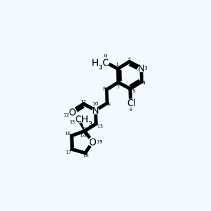 Cc1cncc(Cl)c1CCN(C=O)C[C@@]1(C)CCCO1